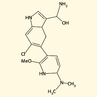 COC1=C(C2=C(Cl)C=C3NC=C(C(N)O)C3C2)C=CC(N(C)C)N1